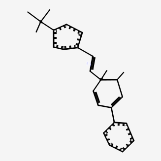 CC1C=C(c2ccccc2)C=CC1(Cl)/C=C/c1ccc(C(C)(C)C)cc1